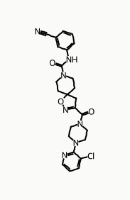 N#Cc1cccc(NC(=O)N2CCC3(CC2)CC(C(=O)N2CCN(c4ncccc4Cl)CC2)=NO3)c1